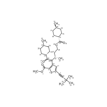 COC(=O)c1sc(C#CC(C)(C)C)cc1N(C(=O)C1CCC(C)CC1)[C@@H](C)CCOC(=O)[C@H]1CC[C@H](C)CC1